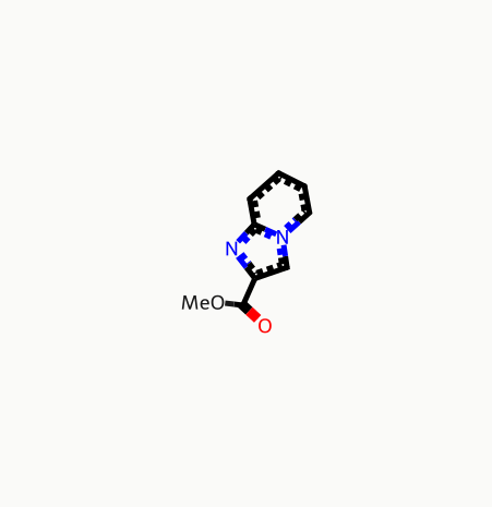 COC(=O)c1cn2ccccc2n1